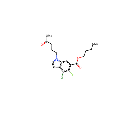 COCCCOC(=O)c1cc2c(ccn2CCCC(=O)OC)c(Cl)c1F